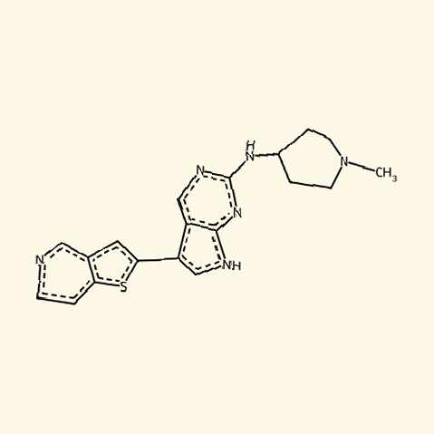 CN1CCC(Nc2ncc3c(-c4cc5cnccc5s4)c[nH]c3n2)CC1